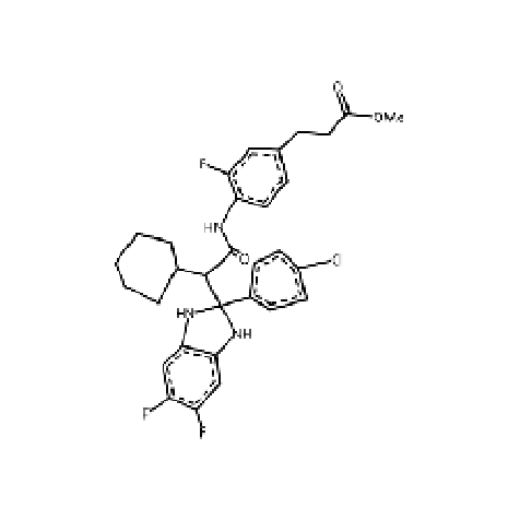 COC(=O)CCc1ccc(NC(=O)C(C2CCCCC2)C2(c3ccc(Cl)cc3)Nc3cc(F)c(F)cc3N2)c(F)c1